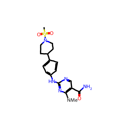 CNc1nc(Nc2ccc(C3CCN(S(C)(=O)=O)CC3)cc2)ncc1C(N)=O